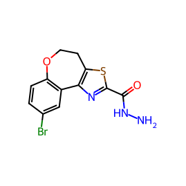 NNC(=O)c1nc2c(s1)CCOc1ccc(Br)cc1-2